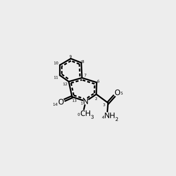 Cn1c(C(N)=O)cc2[c]cccc2c1=O